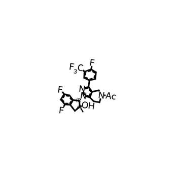 CC(=O)N1CCc2c(c(-c3ccc(F)c(C(F)(F)F)c3)nn2[C@H]2c3cc(F)cc(F)c3C[C@@]2(C)O)C1